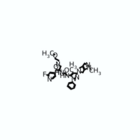 COCCN1C[C@@H](NC(=O)Nc2c(C)c(N3Cc4cnn(C)c4C3)nn2-c2ccccc2)[C@H](c2ccnc(F)c2)O1